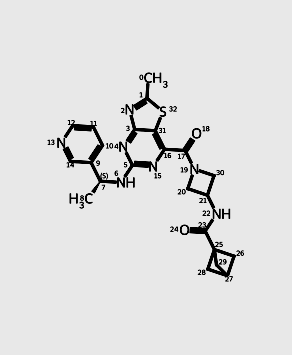 Cc1nc2nc(N[C@@H](C)c3cccnc3)nc(C(=O)N3CC(NC(=O)C45CC(C4)C5)C3)c2s1